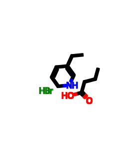 Br.CCC1=CNCC=C1.CCCC(=O)O